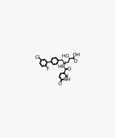 O=C(NN(Cc1ccc(-c2cc(Cl)ccc2F)cc1)C[C@@H](O)C(=O)O)c1ccc(=O)[nH]n1